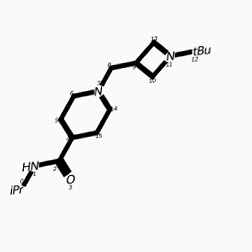 CC(C)NC(=O)C1CCN(CC2CN(C(C)(C)C)C2)CC1